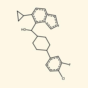 OC(c1c(C2CC2)ccc2cncn12)C1CCC(c2ccc(Cl)c(F)c2)CC1